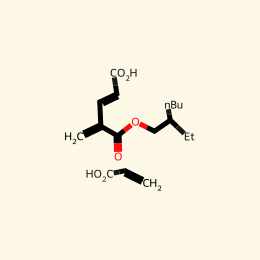 C=C(C=CC(=O)O)C(=O)OCC(CC)CCCC.C=CC(=O)O